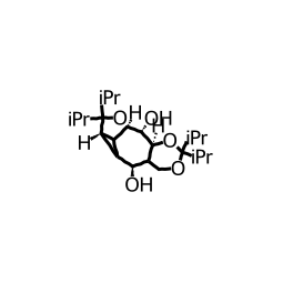 CC(C)C1(C(C)C)OCC2[C@@H](O)C3C4[C@H]3C(C(C)C)(C(C)C)O[C@H]4[C@H](O)[C@H]2O1